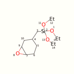 CCO[Si](CC1CCC2OC2C1)(OCC)OCC